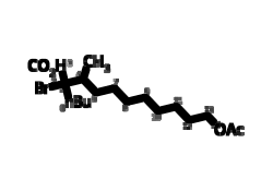 CCCCC(Br)(C(=O)O)C(C)CCCCCCCCOC(C)=O